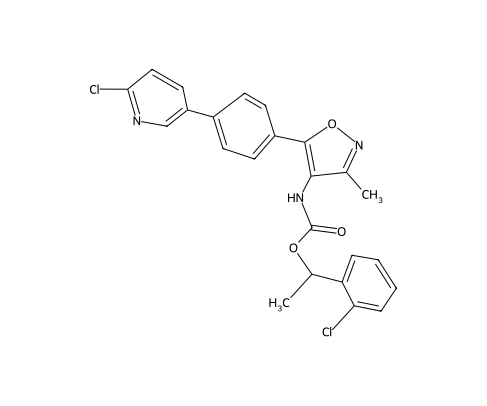 Cc1noc(-c2ccc(-c3ccc(Cl)nc3)cc2)c1NC(=O)OC(C)c1ccccc1Cl